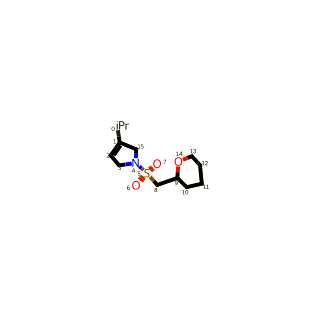 CC(C)C1=CCN(S(=O)(=O)CC2CCCCO2)C1